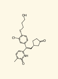 Cc1ccc(C(=C[C@H]2CCC(=O)C2)c2ccc(SCCCO)c(Cl)c2)[nH]c1=O